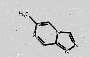 Cc1cn2cnnc2cn1